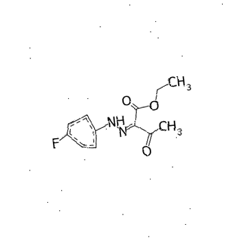 CCOC(=O)C(=NNc1ccc(F)cc1)C(C)=O